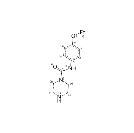 CCOc1ccc(NC(=O)N2CCNCC2)cc1